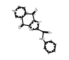 O=C(Nc1ccccc1)c1nc2c(s1)C(=O)c1ccncc1C2=O